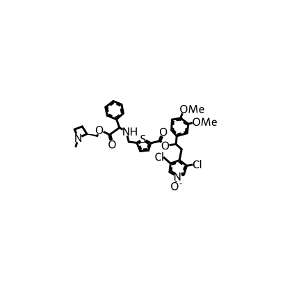 COc1ccc(C(Cc2c(Cl)c[n+]([O-])cc2Cl)OC(=O)c2ccc(CNC(C(=O)OC[C@@H]3CCN3C)c3ccccc3)s2)cc1OC